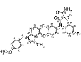 COc1ccc(Cn2nc(C)c3c(Oc4ccc(N(C(=O)C5(C(N)=O)CC5)c5ccc(F)cc5)cc4F)ccnc32)cc1